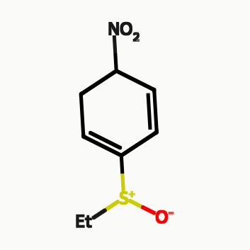 CC[S+]([O-])C1=CCC([N+](=O)[O-])C=C1